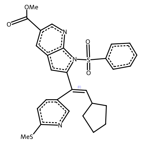 COC(=O)c1cnc2c(c1)cc(/C(=C/C1CCCC1)c1ccc(SC)nc1)n2S(=O)(=O)c1ccccc1